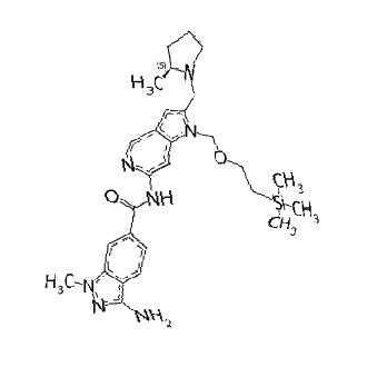 C[C@H]1CCCN1Cc1cc2cnc(NC(=O)c3ccc4c(N)nn(C)c4c3)cc2n1COCC[Si](C)(C)C